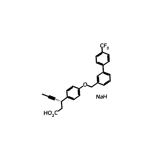 CC#C[C@@H](CC(=O)O)c1ccc(OCc2cccc(-c3ccc(C(F)(F)F)cc3)c2)cc1.[NaH]